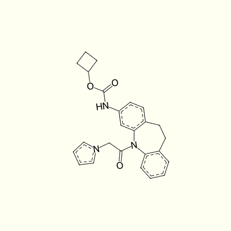 O=C(Nc1ccc2c(c1)N(C(=O)Cn1cccc1)c1ccccc1CC2)OC1CCC1